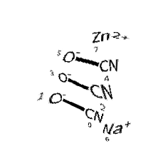 N#C[O-].N#C[O-].N#C[O-].[Na+].[Zn+2]